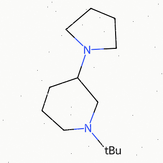 CC(C)(C)N1CCCC(N2CCCC2)C1